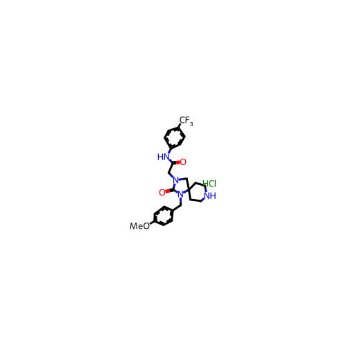 COc1ccc(CN2C(=O)N(CC(=O)Nc3ccc(C(F)(F)F)cc3)CC23CCNCC3)cc1.Cl